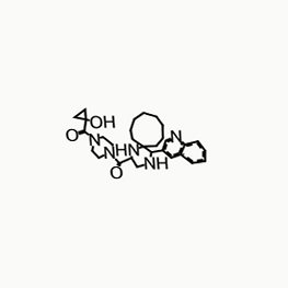 O=C(C1CNC(c2cnc3ccccc3c2)C2(CCCCCCCC2)N1)N1CCN(C(=O)C2(O)CC2)CC1